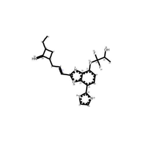 CCC1CC(C/C=C/c2nc3c(OC(F)(F)C(C)O)ccc(-c4nccs4)c3o2)C1=N